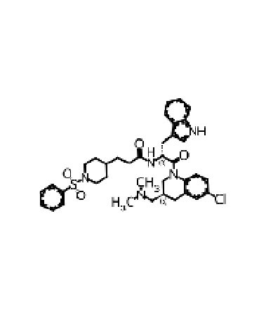 CN(C)C[C@@H]1Cc2cc(Cl)ccc2N(C(=O)[C@@H](Cc2c[nH]c3ccccc23)NC(=O)CCC2CCN(S(=O)(=O)c3ccccc3)CC2)C1